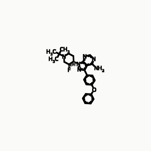 CC(C)(C)N1CC[C@@H](n2nc(-c3ccc(Oc4ccccc4)cc3)c3c(N)ncnc32)[C@H](F)C1